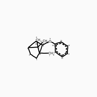 CC1(C)C2CCC1(C)C(Oc1cc[c]cc1)C2